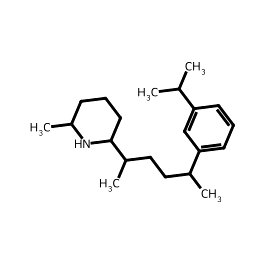 CC1CCCC(C(C)CCC(C)c2cccc(C(C)C)c2)N1